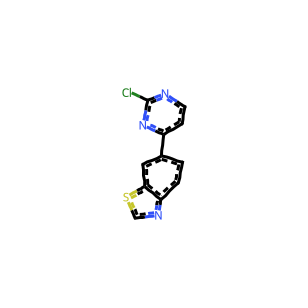 Clc1nccc(-c2ccc3ncsc3c2)n1